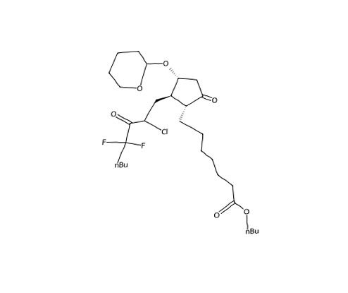 CCCCOC(=O)CCCCCC[C@H]1C(=O)C[C@@H](OC2CCCCO2)[C@@H]1CC(Cl)C(=O)C(F)(F)CCCC